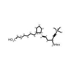 CCCCCCC(C#C[Si](C)(C)C)CC=C[C@H]1CCC[C@@H]1CCCCSCC(=O)O